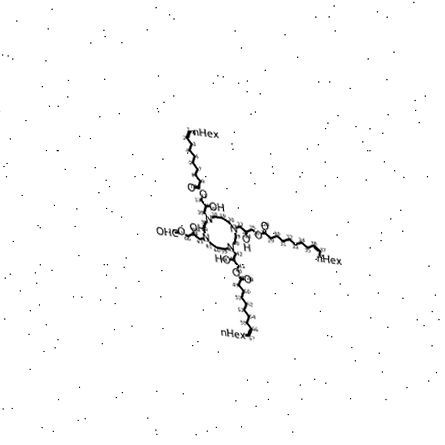 CCCCCC/C=C\CCCCCCCC(=O)OCC(O)CN1CCCN(CC(O)COC(=O)CCCCCCC/C=C\CCCCCC)CCN(CC(O)COC(=O)CCCCCCC/C=C\CCCCCC)CCCN(CC(O)COC=O)CC1